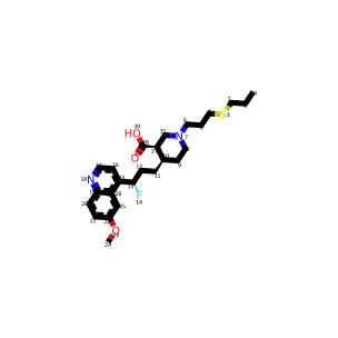 CCCSCCCN1CC[C@@H](CC[C@H](F)c2ccnc3ccc(OC)cc23)[C@@H](C(=O)O)C1